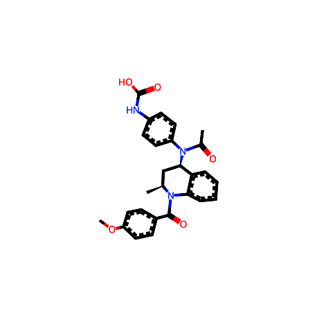 COc1ccc(C(=O)N2c3ccccc3[C@H](N(C(C)=O)c3ccc(NC(=O)O)cc3)C[C@@H]2C)cc1